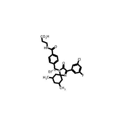 CC[C@H](c1ccc(C(=O)NCCC(=O)O)cc1)N1C(=O)C(c2cc(F)cc(Cl)c2)=NC12CC(C)CC(C)C2